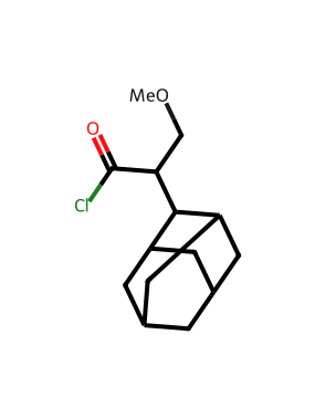 COCC(C(=O)Cl)C1C2CC3CC(C2)CC1C3